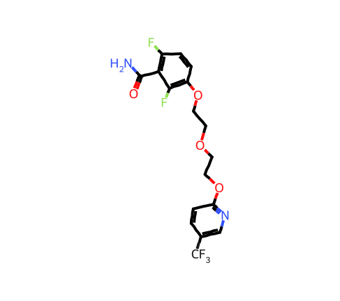 NC(=O)c1c(F)ccc(OCCOCCOc2ccc(C(F)(F)F)cn2)c1F